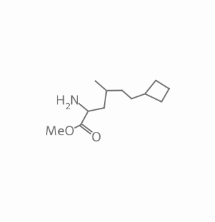 COC(=O)C(N)CC(C)CCC1CCC1